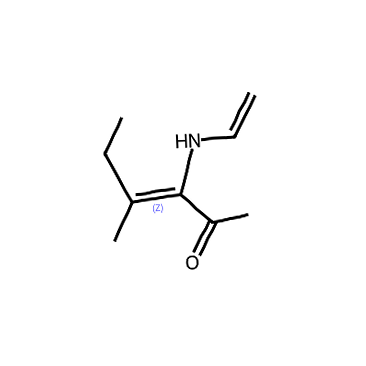 C=CN/C(C(C)=O)=C(/C)CC